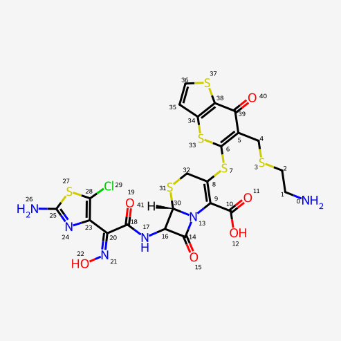 NCCSCc1c(SC2=C(C(=O)O)N3C(=O)C(NC(=O)C(=NO)c4nc(N)sc4Cl)[C@@H]3SC2)sc2ccsc2c1=O